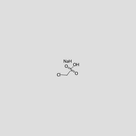 O=S(=O)(O)CCl.[NaH]